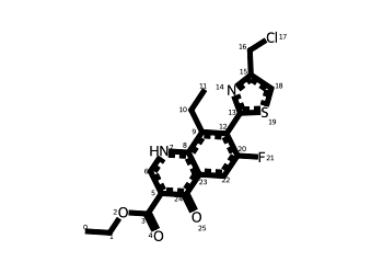 CCOC(=O)c1c[nH]c2c(CC)c(-c3nc(CCl)cs3)c(F)cc2c1=O